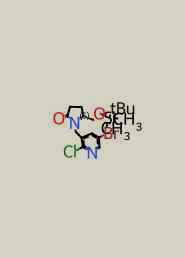 CC(C)(C)[Si](C)(C)OC[C@@H]1CCC(=O)N1Cc1cc(Br)cnc1Cl